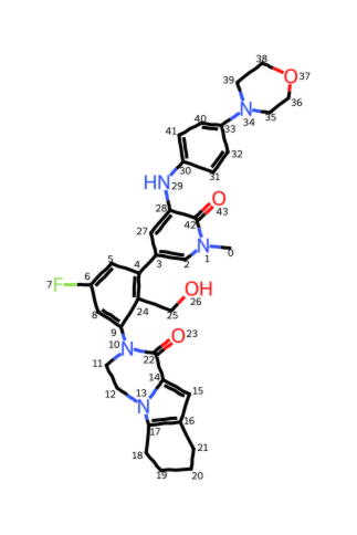 Cn1cc(-c2cc(F)cc(N3CCn4c(cc5c4CCCC5)C3=O)c2CO)cc(Nc2ccc(N3CCOCC3)cc2)c1=O